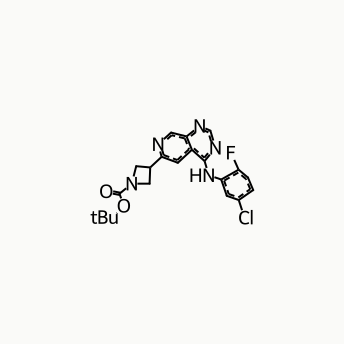 CC(C)(C)OC(=O)N1CC(c2cc3c(Nc4cc(Cl)ccc4F)ncnc3cn2)C1